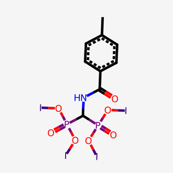 Cc1ccc(C(=O)NC(P(=O)(OI)OI)P(=O)(OI)OI)cc1